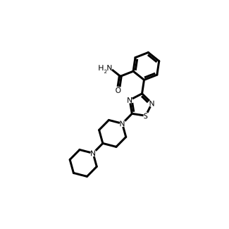 NC(=O)c1ccccc1-c1nsc(N2CCC(N3CCCCC3)CC2)n1